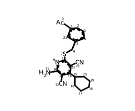 CC(=O)c1cccc(CSc2nc(N)c(C#N)c(C3CCCCC3)c2C#N)c1